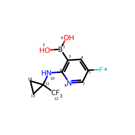 OB(O)c1cc(F)cnc1NC1(C(F)(F)F)CC1